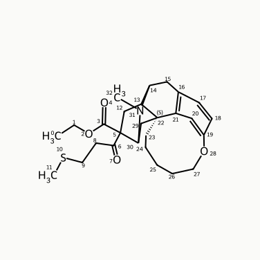 CCOC(=O)C1(C(=O)CCSC)CC2C3Cc4ccc5cc4[C@@]2(CCCCCO5)CC1N3C